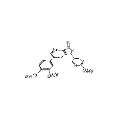 COc1ncc(-c2n[nH]c3ncc(-c4ccc(OC)c(OC)c4)cc23)cn1